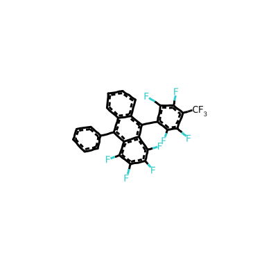 Fc1c(F)c(C(F)(F)F)c(F)c(F)c1-c1c2ccccc2c(-c2ccccc2)c2c(F)c(F)c(F)c(F)c12